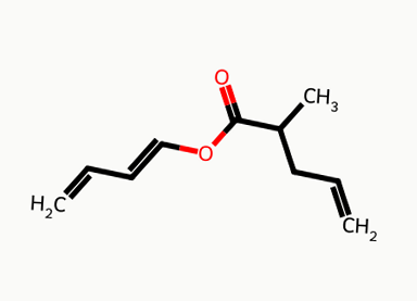 C=CC=COC(=O)C(C)CC=C